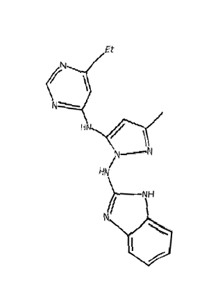 CCc1cc(Nc2cc(C)nn2Nc2nc3ccccc3[nH]2)ncn1